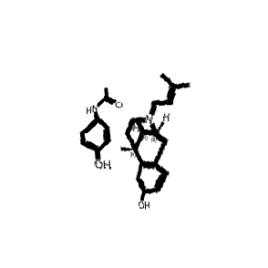 CC(=O)Nc1ccc(O)cc1.CC(C)=CCN1CC[C@@]2(C)c3cc(O)ccc3C[C@@H]1[C@@H]2C